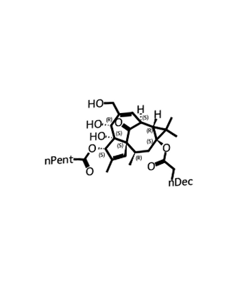 CCCCCCCCCCCC(=O)O[C@@]12C[C@@H](C)[C@]34C=C(C)[C@H](OC(=O)CCCCC)[C@@]3(O)[C@H](O)C(CO)=C[C@H](C4=O)[C@@H]1C2(C)C